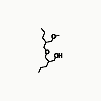 CCCC(CO)COCC(CCC)COC